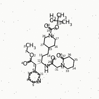 CCOC(=O)[C@@H](c1cccnc1)C(CCC1CCN(C(=O)OC(C)(C)C)CC1)NC(=O)CN1CCCCC1=O